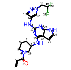 C=CC(=O)N1CCCC(Nc2nc(Nc3cnn(CC(F)F)c3)nc3[nH]ccc23)C1